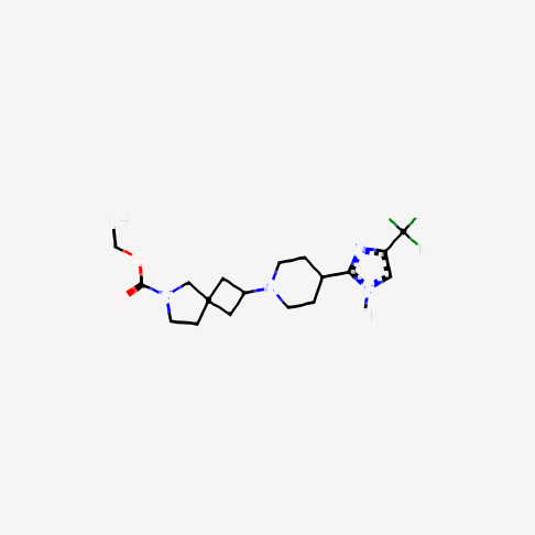 CCOC(=O)N1CCC2(CC(N3CCC(c4nc(C(F)(F)F)cn4C)CC3)C2)C1